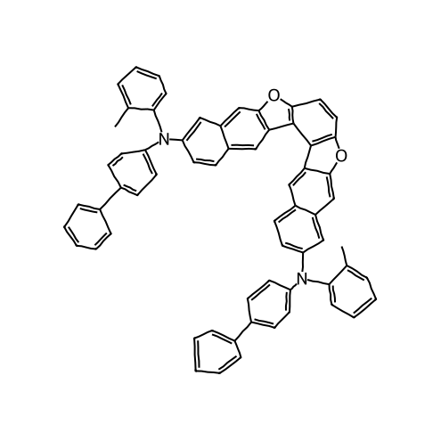 Cc1ccccc1N(c1ccc(-c2ccccc2)cc1)c1ccc2cc3c(cc2c1)oc1ccc2oc4cc5cc(N(c6ccc(-c7ccccc7)cc6)c6ccccc6C)ccc5cc4c2c13